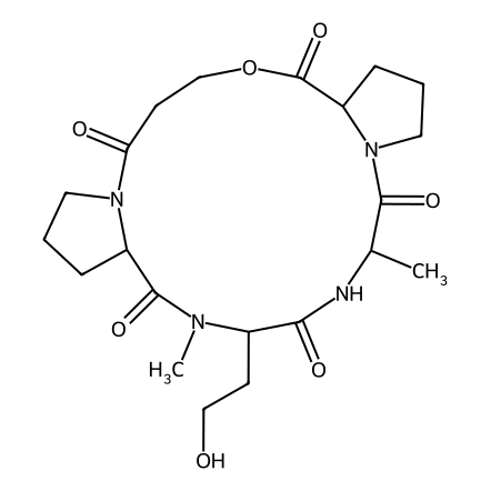 CC1NC(=O)C(CCO)N(C)C(=O)C2CCCN2C(=O)CCOC(=O)C2CCCN2C1=O